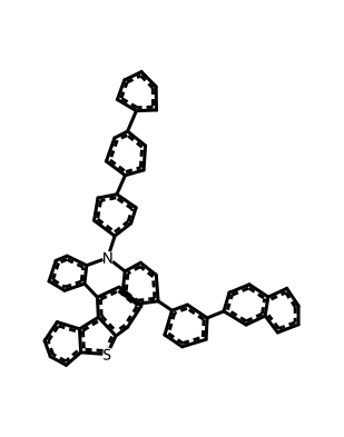 c1ccc(-c2ccc(-c3ccc(N(c4ccc(-c5cccc(-c6ccc7ccccc7c6)c5)cc4)c4ccccc4-c4cccc5sc6ccccc6c45)cc3)cc2)cc1